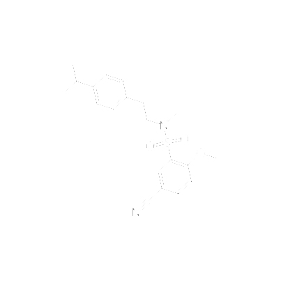 COc1ccc(C#N)cc1S(=O)(=O)N(C)CCc1ccc(C(C)C)cc1